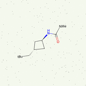 CNC(=O)N[C@H]1C[C@H](CC(C)(C)C)C1